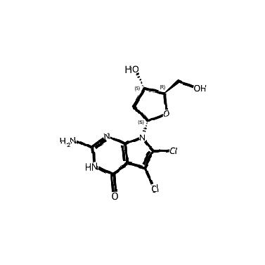 Nc1nc2c(c(Cl)c(Cl)n2[C@@H]2C[C@H](O)[C@@H](CO)O2)c(=O)[nH]1